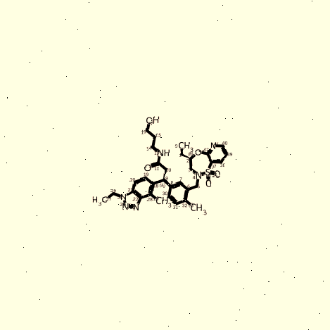 CC[C@@H]1CN(Cc2cc([C@H](CC(=O)NCCCO)c3ccc4c(nnn4CC)c3C)ccc2C)S(=O)(=O)c2cccnc2O1